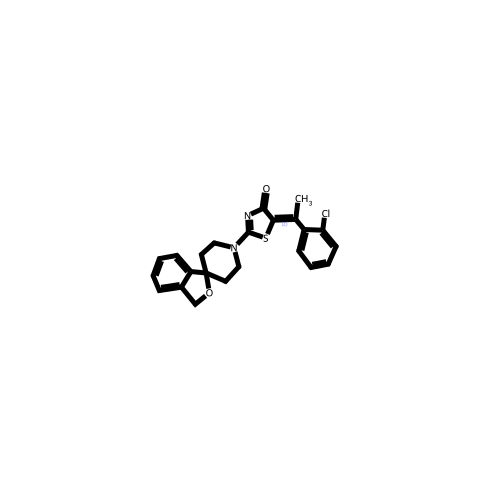 C/C(=C1/SC(N2CCC3(CC2)OCc2ccccc23)=NC1=O)c1ccccc1Cl